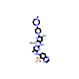 COc1nc(N2CCC(N3CCCN(C)CC3)CC2)c(C(C)=O)cc1Nc1ncc(C)c(Nc2ccc3nccnc3c2P(C)(C)=O)n1